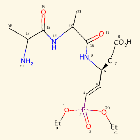 CCOP(=O)(/C=C/[C@H](CC(=O)O)NC(=O)C(C)NC(=O)C(C)N)OCC